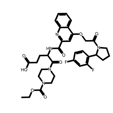 CCOC(=O)N1CCN(C(=O)C(CCC(=O)O)NC(=O)c2cc(OCC(=O)N3CCCC3c3ccc(F)cc3F)c3ccccc3n2)CC1